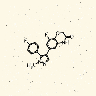 Cn1ncc(-c2cc(F)c3c(c2)NC(=O)CO3)c1-c1ccc(F)cc1